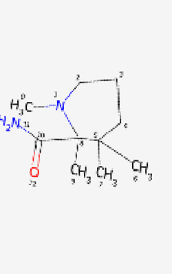 CN1CCCC(C)(C)C1(C)C(N)=O